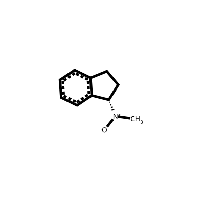 C[N+]([O])[C@H]1CCc2ccccc21